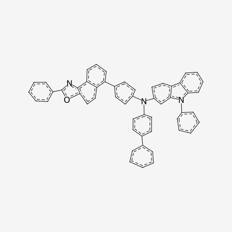 c1ccc(-c2ccc(N(c3ccc(-c4cccc5c4ccc4oc(-c6ccccc6)nc45)cc3)c3ccc4c5ccccc5n(-c5ccccc5)c4c3)cc2)cc1